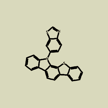 c1ccc2c(c1)sc1c2ccc2c3ccccc3n(-c3ccc4ncsc4c3)c21